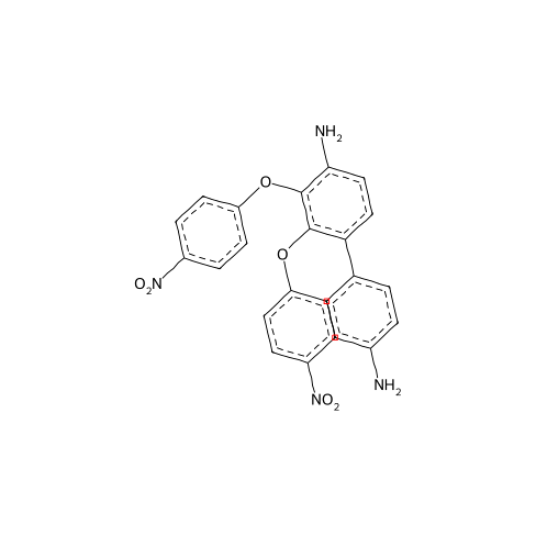 Nc1ccc(-c2ccc(N)c(Oc3ccc([N+](=O)[O-])cc3)c2Oc2ccc([N+](=O)[O-])cc2)cc1